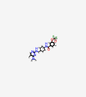 Cc1cnc(NCC2CCC(NC(=O)c3ccc4c(c3)OC(F)(F)O4)CC2)nc1N(C)C